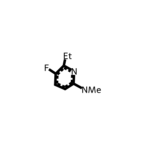 CCc1nc(NC)ccc1F